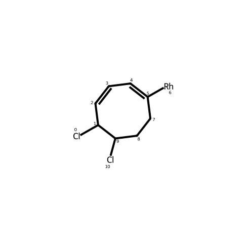 ClC1C=CC=[C]([Rh])CCC1Cl